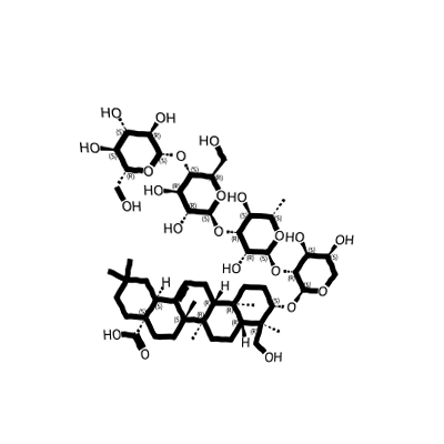 C[C@@H]1O[C@@H](O[C@H]2[C@H](O[C@H]3CC[C@@]4(C)[C@@H](CC[C@]5(C)[C@@H]4CC=C4[C@@H]6CC(C)(C)CC[C@]6(C(=O)O)CC[C@]45C)[C@]3(C)CO)OC[C@H](O)[C@@H]2O)[C@H](O)[C@H](O[C@@H]2O[C@H](CO)[C@@H](O[C@@H]3O[C@H](CO)[C@@H](O)[C@H](O)[C@H]3O)[C@H](O)[C@H]2O)[C@H]1O